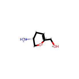 N[C@@H]1CC=C(CO)OC1